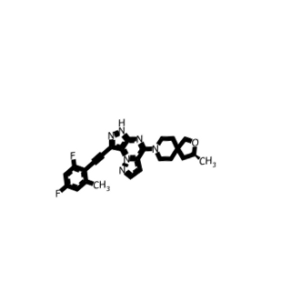 Cc1cc(F)cc(F)c1C#Cc1n[nH]c2nc(N3CCC4(CC3)CO[C@@H](C)C4)c3ccnn3c12